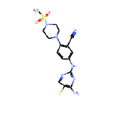 CS(=O)(=O)N1CCN(c2ccc(Nc3ncc(F)c(N)n3)cc2C#N)CC1